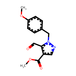 COC(=O)c1cnn(Cc2ccc(OC)cc2)c1C=O